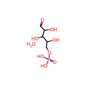 O.O=CC(O)C(O)C(O)COP(=O)(O)O